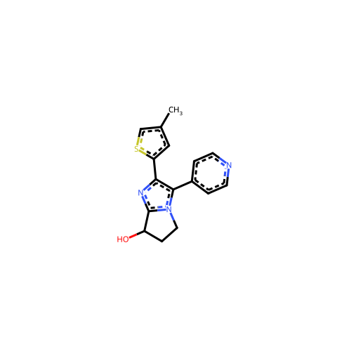 Cc1csc(-c2nc3n(c2-c2ccncc2)CCC3O)c1